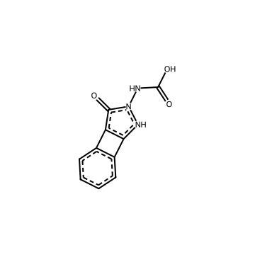 O=C(O)Nn1[nH]c2c(c1=O)-c1ccccc1-2